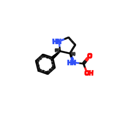 O=C(O)N[C@@H]1CCN[C@@H]1c1ccccc1